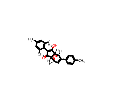 Cc1ccc(C2=C[C@@H]3O[C@H]2[C@H]2C(O)=C(c4c(C)cc(C)cc4C)C(=O)[C@H]23)cc1